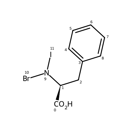 O=C(O)[C@H](Cc1ccccc1)N(Br)I